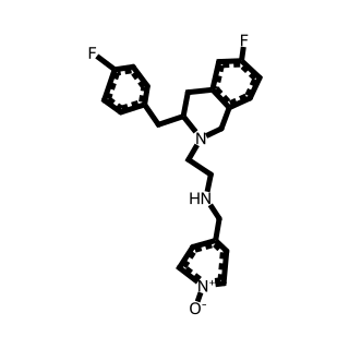 [O-][n+]1ccc(CNCCN2Cc3ccc(F)cc3CC2Cc2ccc(F)cc2)cc1